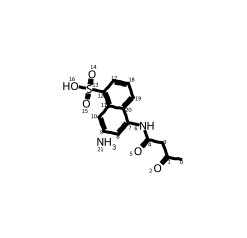 CC(=O)CC(=O)Nc1cccc2c(S(=O)(=O)O)cccc12.N